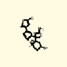 NC1=NC2(CO1)c1cc(-c3cc(Cl)cnc3F)ccc1O[C@H]1CC[C@H](O)C[C@@H]12